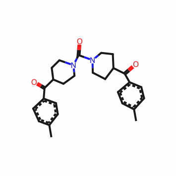 Cc1ccc(C(=O)C2CCN(C(=O)N3CCC(C(=O)c4ccc(C)cc4)CC3)CC2)cc1